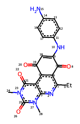 CCc1nc2c(c3c1C(=O)C(Nc1ccc(N)cc1)=CC3=O)c(=O)n(C)c(=O)n2C